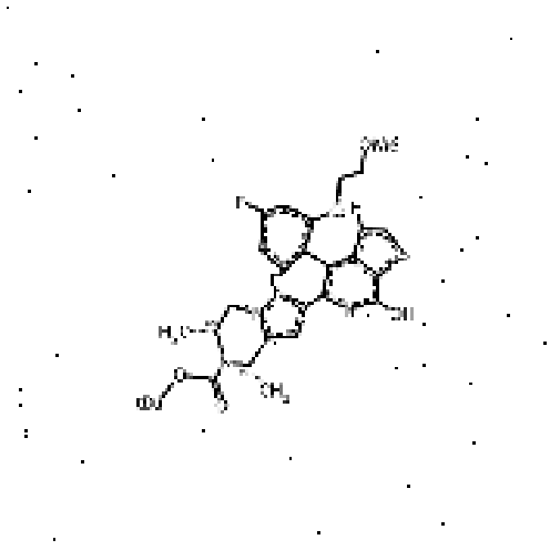 COCCOc1cc(F)cc(F)c1-c1c(-c2cc3n(n2)C[C@@H](C)N(C(=O)OC(C)(C)C)[C@H]3C)nc(O)c2scc(F)c12